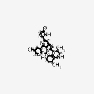 CC([C@H]1CC[C@H](C)CC1)n1c(N2CCNC[C@H]2C)nc2cc(-c3noc(=O)[nH]3)nc(-c3cncc(Cl)c3)c21